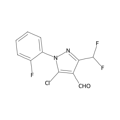 O=Cc1c(C(F)F)nn(-c2ccccc2F)c1Cl